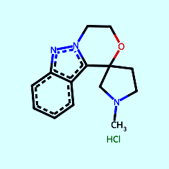 CN1CCC2(C1)OCCn1nc3ccccc3c12.Cl